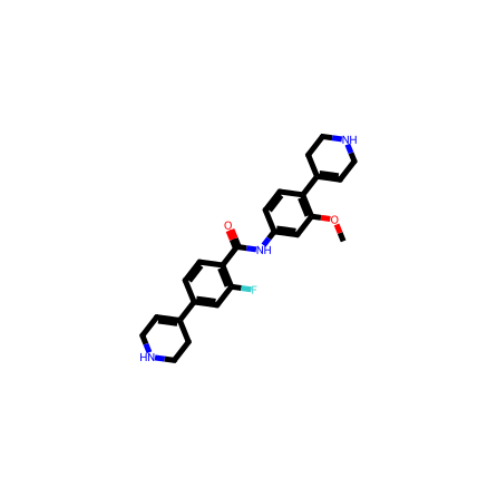 COc1cc(NC(=O)c2ccc(C3=CCNCC3)cc2F)ccc1C1=CCNCC1